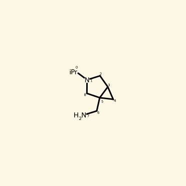 CC(C)N1CC2CC2(CN)C1